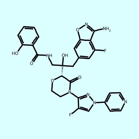 Nc1noc2cc(CC(O)(CNC(=O)c3ccccc3O)[C@H]3OCCN(c4nn(-c5ccncc5)cc4F)C3=O)cc(F)c12